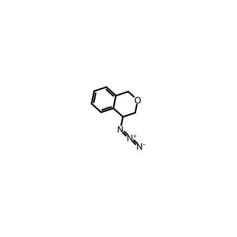 [N-]=[N+]=NC1COCc2ccccc21